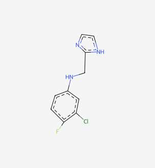 Fc1ccc(NCc2ncc[nH]2)cc1Cl